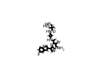 CC(NC1CC(NC(=O)C(C)(CO)CO)C1)c1nc2c(-c3cnc4ccc(F)cc4c3)cnn2c(N)c1Br